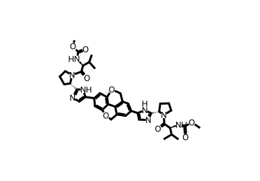 COC(=O)N[C@H](C(=O)N1CCC[C@H]1c1ncc(-c2cc3c4c(c2)COc2cc(-c5cnc([C@@H]6CCCN6C(=O)[C@@H](NC(=O)OC)C(C)C)[nH]5)cc(c2-4)OC3)[nH]1)C(C)C